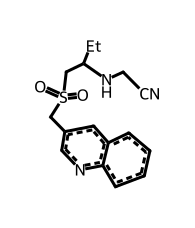 CCC(CS(=O)(=O)Cc1cnc2ccccc2c1)NCC#N